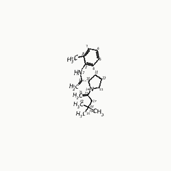 C=C(Nc1ccccc1C)[C@@H]1CCCN1C(=C)CC(C)(C)C